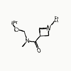 CCN1CC(C(=O)N(C)COC(C)C)C1